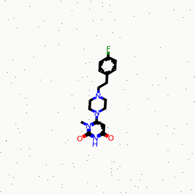 Cn1c(N2CCN(CCc3ccc(F)cc3)CC2)cc(=O)[nH]c1=O